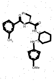 COc1ccc(N[C@H]2CCCC[C@H]2NC(=O)[C@H](CC(C)C)NC(=O)c2cccc(C)c2)cc1